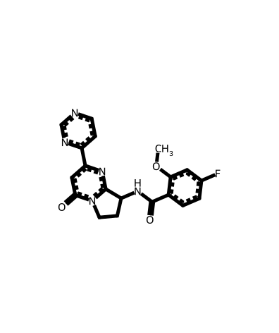 COc1cc(F)ccc1C(=O)NC1CCn2c1nc(-c1ccncn1)cc2=O